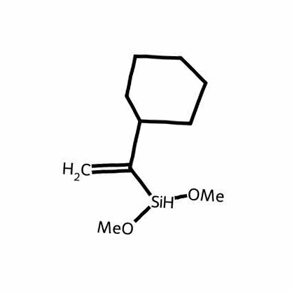 C=C(C1CCCCC1)[SiH](OC)OC